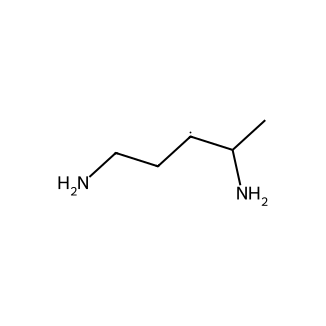 CC(N)[CH]CCN